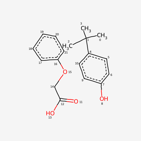 CC(C)(C)c1ccc(O)cc1.O=C(O)COc1ccccc1